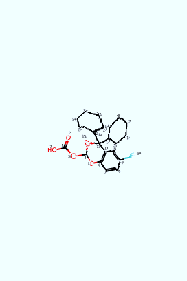 O=C(O)OC1Oc2ccc(F)cc2C(C2CCCCC2)(C2CCCCC2)O1